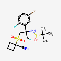 CC(C)(C)[S+]([O-])NC(CF)(CS(=O)(=O)C1(C#N)CCC1)c1cc(Br)ccc1F